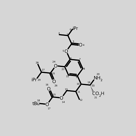 CC(C)C(C)C(=O)Oc1ccc(C(C(C)COC(=O)OC(C)(C)C)[C@H](N)C(=O)O)cc1OC(=O)C(C)C(C)C